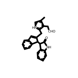 Cc1c[nH]c(CC2=Cc3ccccc3C2C2C(=O)Nc3ccccc32)c1CC=O